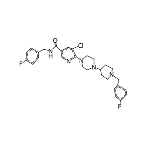 O=C(NCc1ccc(F)cc1)c1cnc(N2CCN(C3CCN(Cc4ccc(F)cc4)CC3)CC2)c(Cl)c1